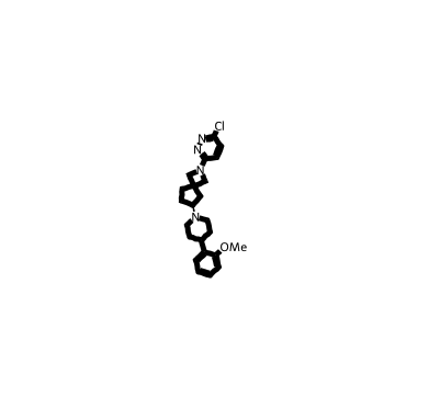 COc1ccccc1C1CCN([C@@H]2CCC3(C2)CN(c2ccc(Cl)nn2)C3)CC1